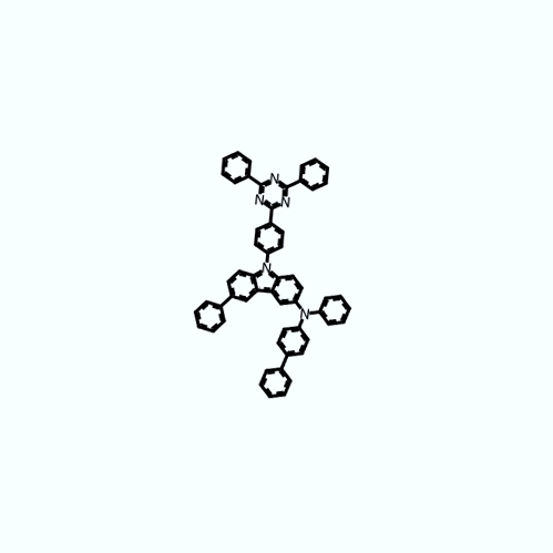 c1ccc(-c2ccc(N(c3ccccc3)c3ccc4c(c3)c3cc(-c5ccccc5)ccc3n4-c3ccc(-c4nc(-c5ccccc5)nc(-c5ccccc5)n4)cc3)cc2)cc1